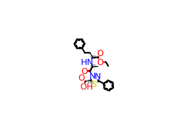 CCOC(=O)[C@H](CCc1ccccc1)N[C@@H](C)C(=O)N1N=C(c2ccccc2)S[C@H]1C(=O)O